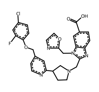 O=C(O)c1ccc2nc(CN3CCC(c4cc(COc5ccc(Cl)cc5F)ccn4)C3)n(Cc3ncco3)c2c1